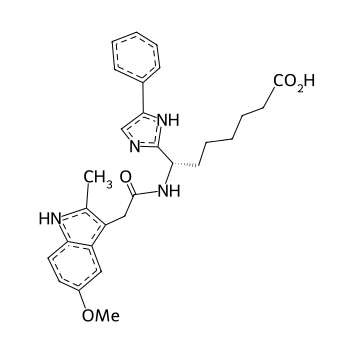 COc1ccc2[nH]c(C)c(CC(=O)N[C@@H](CCCCCC(=O)O)c3ncc(-c4ccccc4)[nH]3)c2c1